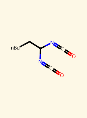 [CH2]CCCC[C](N=C=O)N=C=O